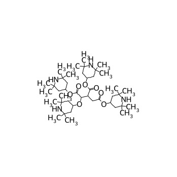 CC1(C)CC(OC(=O)CC(C(=O)OC2CC(C)(C)NC(C)(C)C2)C(OC2CC(C)(C)NC(C)(C)C2)C(=O)OC2CC(C)(C)NC(C)(C)C2)CC(C)(C)N1